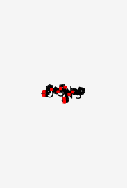 c1ccc(-c2nc(-c3ccc4c(c3)sc3ccccc34)nc(-c3cccc4c3oc3ccc(-c5cccc6c5oc5ccccc56)cc34)n2)cc1